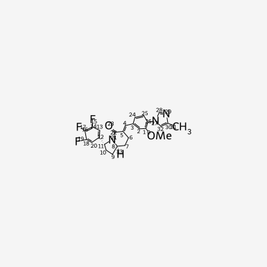 COc1cc(/C=C2\CC[C@H]3CC[C@H](c4cc(F)c(F)c(F)c4)N3C2=O)ccc1-n1cnc(C)c1